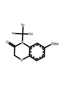 [2H]C([2H])([2H])N1C(=O)COc2ccc(OC)cc21